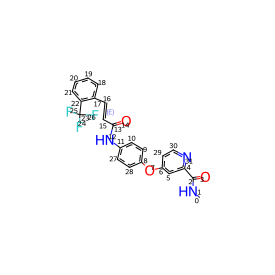 CNC(=O)c1cc(Oc2ccc(NC(=O)/C=C/c3ccccc3C(F)(F)F)cc2)ccn1